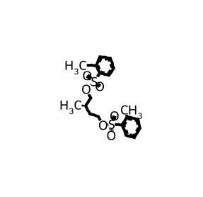 Cc1ccccc1S(=O)(=O)OCC[C@@H](C)COS(=O)(=O)c1ccccc1C